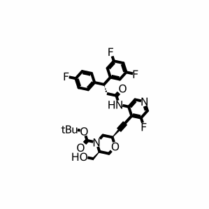 CC(C)(C)OC(=O)N1C[C@@H](C#Cc2c(F)cncc2NC(=O)C[C@H](c2ccc(F)cc2)c2cc(F)cc(F)c2)OC[C@H]1CO